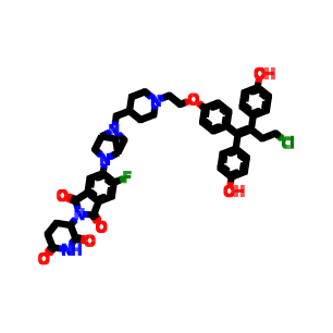 O=C1CCC(N2C(=O)c3cc(F)c(N4CC5CC4CN5CC4CCN(CCOc5ccc(C(=C(CCCl)c6ccc(O)cc6)c6ccc(O)cc6)cc5)CC4)cc3C2=O)C(=O)N1